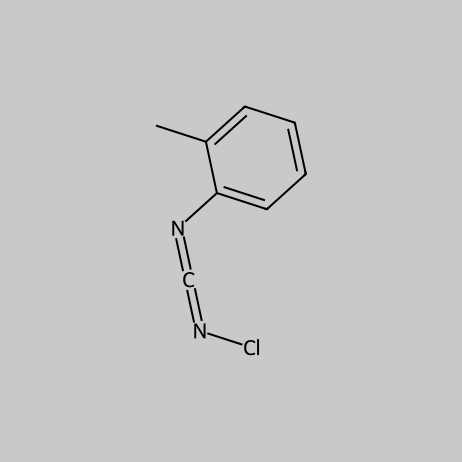 Cc1ccccc1N=C=NCl